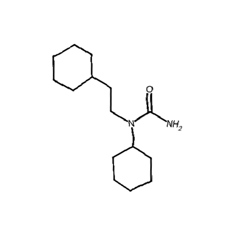 NC(=O)N(CCC1CCCCC1)C1CCCCC1